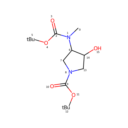 CN(C(=O)OC(C)(C)C)C1CN(C(=O)OC(C)(C)C)CC1O